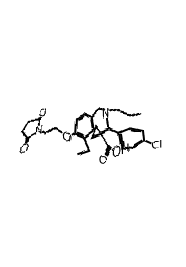 CCCN(Cc1ccc(OCCN2C(=O)CCC2=O)c(CC)c1)C(c1ccc(Cl)cc1)C1(C(=O)O)CC1